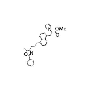 COC(=O)C(Cc1cccc2c(CCCc3nc(-c4ccccc4)oc3C)cccc12)n1cccc1